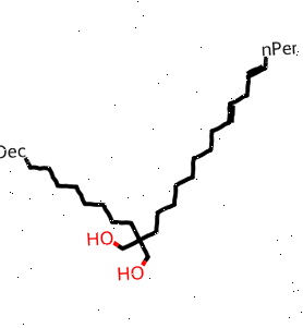 CCCCCC=CCC=CCCCCCCCCC(CO)(CO)CCCCCCCCCCCCCCCCCC